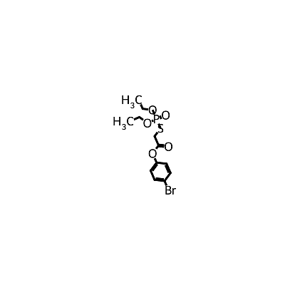 CCOP(=O)(OCC)SCC(=O)Oc1ccc(Br)cc1